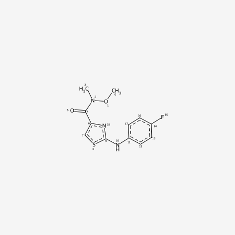 CON(C)C(=O)c1csc(Nc2ccc(F)cc2)n1